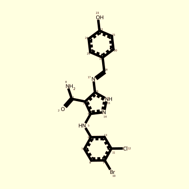 NC(=O)c1c(Nc2ccc(Br)c(Cl)c2)n[nH]c1N=Cc1ccc(O)cc1